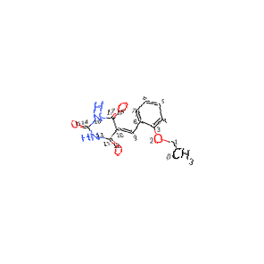 CCOc1ccccc1C=C1C(=O)NC(=O)NC1=O